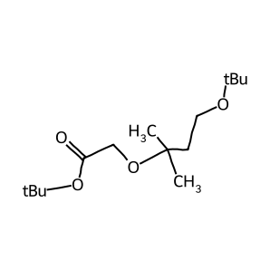 CC(C)(C)OCCC(C)(C)OCC(=O)OC(C)(C)C